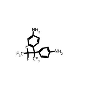 Nc1ccc(C(c2ccc(N)cc2)(C(F)(F)F)C(F)(F)C(F)(F)F)cc1